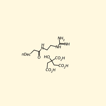 CCCCCCCCCCCC(=O)NCCNC(=N)N.O=C(O)CC(O)(CC(=O)O)C(=O)O